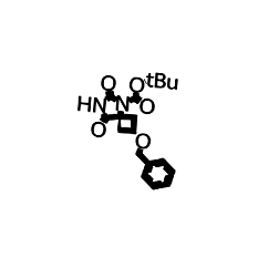 CC(C)(C)OC(=O)N1C(=O)NC(=O)[C@]12C[C@@H](OCc1ccccc1)C2